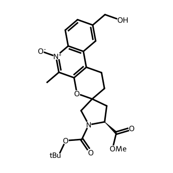 COC(=O)[C@@H]1CC2(CCc3c(c(C)[n+]([O-])c4ccc(CO)cc34)O2)CN1C(=O)OC(C)(C)C